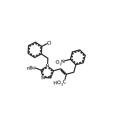 CCCCc1ncc(C=C(Cc2ccccc2[N+](=O)[O-])C(=O)O)n1Cc1ccccc1Cl